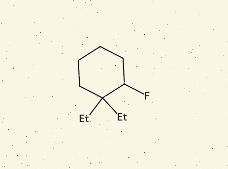 CCC1(CC)CCCCC1F